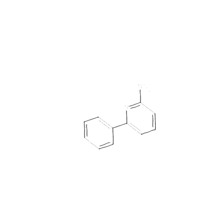 O=[N+]([O-])c1cccc(-c2ccccc2)n1